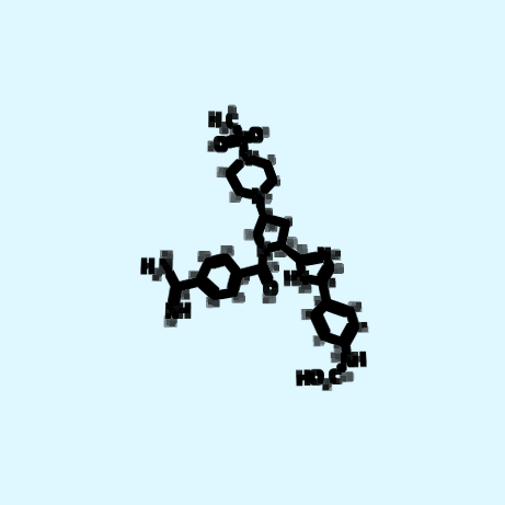 CS(=O)(=O)N1CCN([C@H]2C[C@@H](c3ncc(-c4ccc(NC(=O)O)cc4)[nH]3)N(C(=O)c3ccc(C(=N)N)cc3)C2)CC1